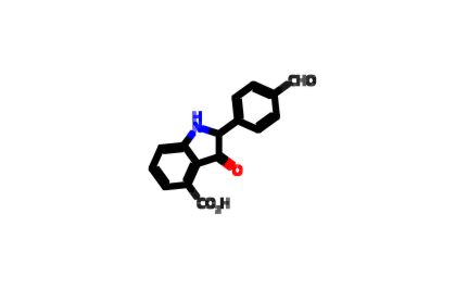 O=Cc1ccc(C2Nc3cccc(C(=O)O)c3C2=O)cc1